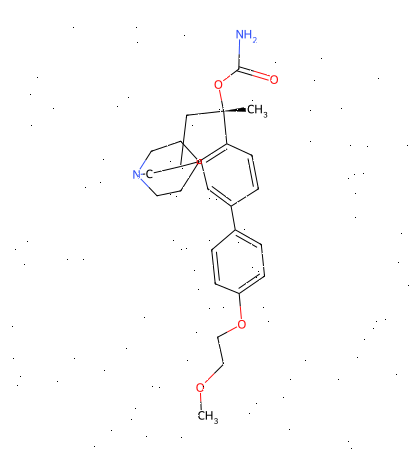 COCCOc1ccc(-c2ccc([C@](C)(CC3CN4CCC3CC4)OC(N)=O)cc2)cc1